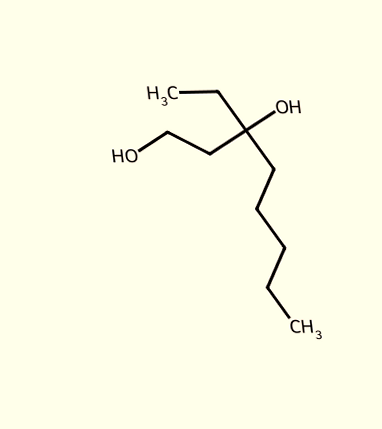 CCCCCC(O)(CC)CCO